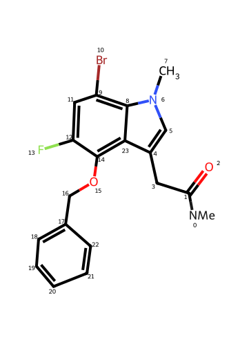 CNC(=O)Cc1cn(C)c2c(Br)cc(F)c(OCc3ccccc3)c12